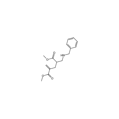 C=C(CC(CNCc1ccccc1)C(=O)OC)C(=O)OC